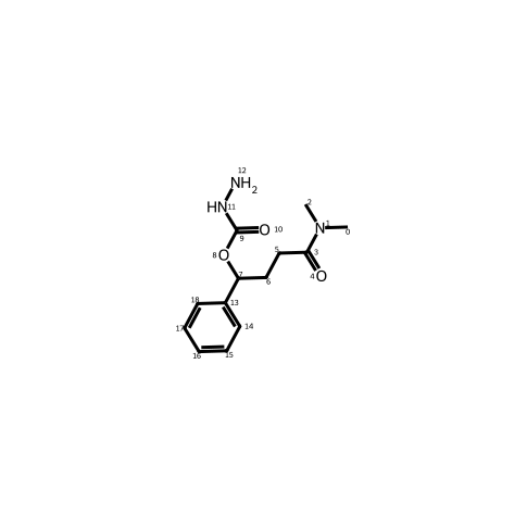 CN(C)C(=O)CCC(OC(=O)NN)c1ccccc1